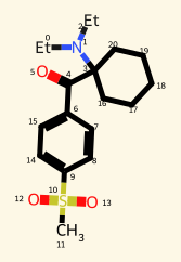 CCN(CC)C1(C(=O)c2ccc(S(C)(=O)=O)cc2)CCCCC1